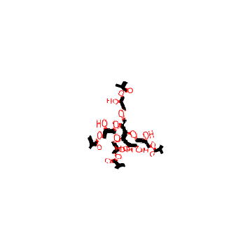 C=C(C)C(=O)OCC(O)COC[C@H](OCC(O)COC(=O)C(=C)C)[C@@H](OCC(O)COC(=O)C(=C)C)[C@@H](OCC(O)COC(=O)C(=C)C)[C@H](O)CO